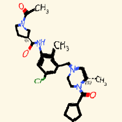 CC(=O)N1CC[C@H](C(=O)Nc2cc(Cl)cc(CN3CCN(C(=O)C4CCCC4)[C@@H](C)C3)c2C)C1